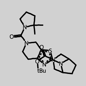 CC(C)(C)OC(=O)N1CC2CCC(C1)N2c1nc2c(s1)CN(C(=O)N1CCCC1(C)C)CC2